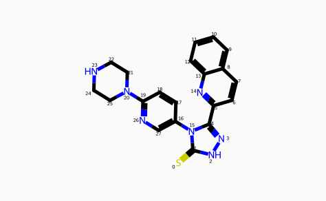 S=c1[nH]nc(-c2ccc3ccccc3n2)n1-c1ccc(N2CCNCC2)nc1